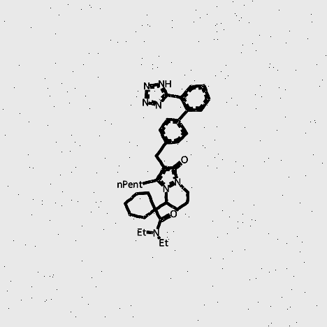 CCCCCc1c(Cc2ccc(-c3ccccc3-c3nnn[nH]3)cc2)c(=O)n2n1C(C1(C(=O)N(CC)CC)CCCCC1)CCC2